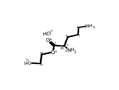 Cl.NCCC[C@@H](N)C(=O)OCCO